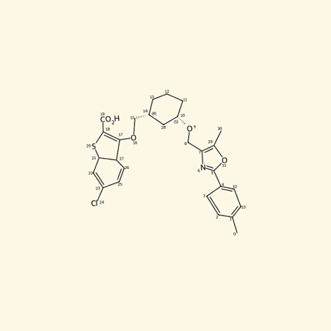 Cc1ccc(-c2nc(CO[C@H]3CCC[C@@H](COC4=C(C(=O)O)SC5C=C(Cl)C=CC45)C3)c(C)o2)cc1